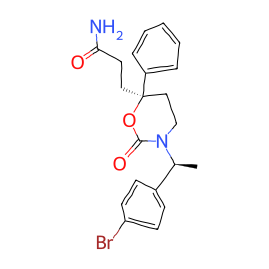 C[C@@H](c1ccc(Br)cc1)N1CC[C@](CCC(N)=O)(c2ccccc2)OC1=O